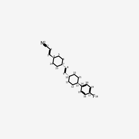 N#CC=C[C@H]1CC[C@H](C=C[C@H]2CC[C@H](c3ccc(F)cc3)CC2)CC1